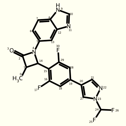 CC1C(=O)N(c2ccc3[nH]cnc3c2)C1c1c(F)cc(-c2cnn(C(F)F)c2)cc1F